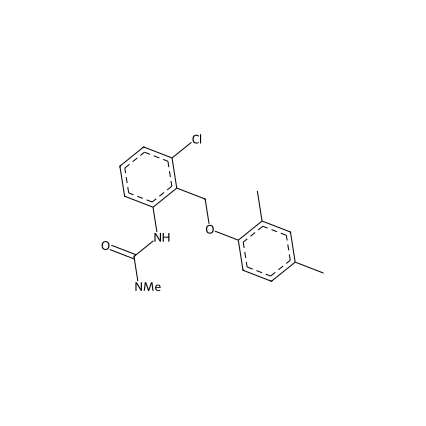 CNC(=O)Nc1cccc(Cl)c1COc1ccc(C)cc1C